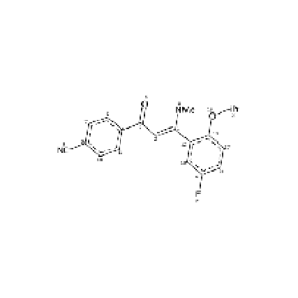 CN/C(=C\C(=O)c1ccc(C#N)cc1)c1cc(F)ccc1OC(C)C